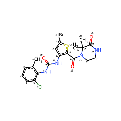 Cc1cccc(Cl)c1NC(=O)Nc1cc(C(C)(C)C)sc1C(=O)N1CCNC(=O)C1(C)C